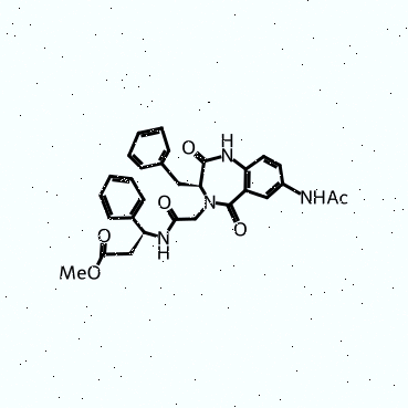 COC(=O)C[C@H](NC(=O)CN1C(=O)c2cc(NC(C)=O)ccc2NC(=O)[C@@H]1Cc1ccccc1)c1ccccc1